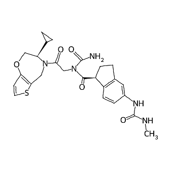 CNC(=O)Nc1ccc2c(c1)CC[C@@H]2C(=O)N(CC(=O)N1Cc2sccc2OC[C@H]1C1CC1)C(N)=O